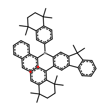 CC1(C)CCC(C)(C)c2cc(N(c3cc4c(cc3-c3cccc5c3C(C)(C)CCC5(C)C)-c3ccccc3C4(C)C)c3cccc4ccccc34)ccc21